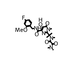 COc1cc(F)ccc1CNC(=O)c1nc(C(C)(C)N(C)C(=O)C(=O)N(C)C)n(C)c(=O)c1O